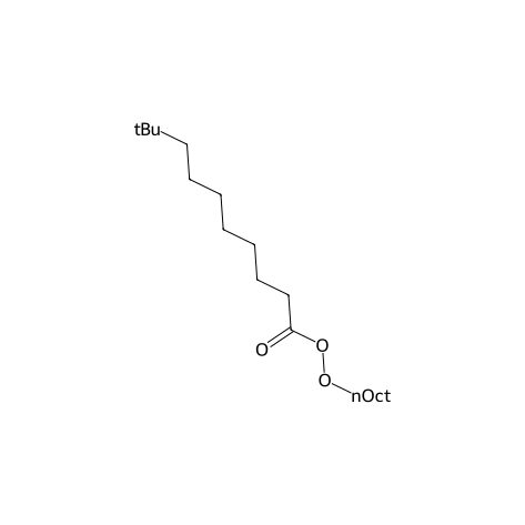 CCCCCCCCOOC(=O)CCCCCCCC(C)(C)C